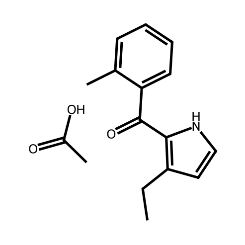 CC(=O)O.CCc1cc[nH]c1C(=O)c1ccccc1C